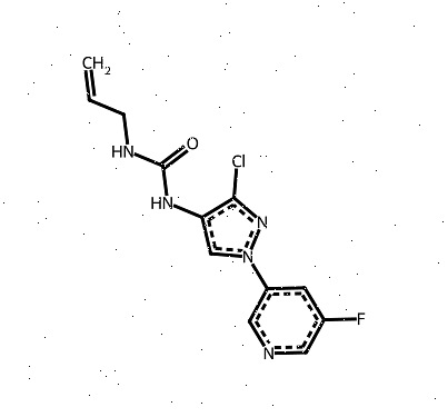 C=CCNC(=O)Nc1cn(-c2cncc(F)c2)nc1Cl